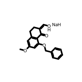 COc1cc2c(c(OCc3ccccc3)c1)C(=O)C(=CO)CC2.[NaH]